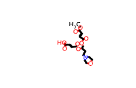 COC(=O)/C=C/C(=O)OCC(CCN1CCOCC1)OC(=O)/C=C/C(=O)O